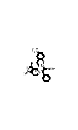 CCn1nc(C)c2c1CCN([C@@H](C(=O)NC)c1ccccc1)[C@H]2CCc1cc(C(F)(F)F)ccc1F